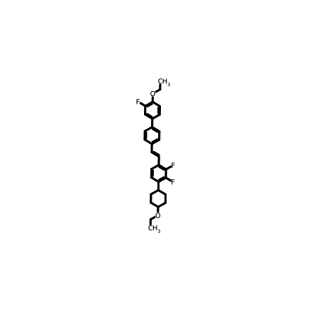 CCOc1ccc(-c2ccc(/C=C/c3ccc(C4CCC(OCC)CC4)c(F)c3F)cc2)cc1F